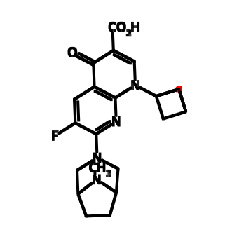 CN1C2CCC1CN(c1nc3c(cc1F)c(=O)c(C(=O)O)cn3C13CC(C1)C3)C2